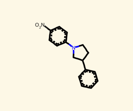 O=[N+]([O-])c1ccc(N2CCC(c3ccccc3)C2)cc1